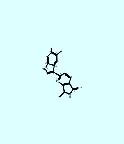 CC1NC(=O)c2ccc(-c3c[nH]c4cc(F)c(F)cc34)nc21